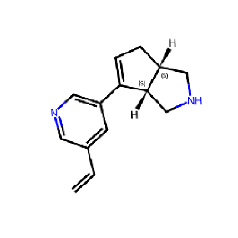 C=Cc1cncc(C2=CC[C@@H]3CNC[C@H]23)c1